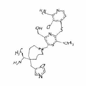 Cc1nc(N2CCC(Cc3cnco3)([C@H](C)N)CC2)c(CO)nc1Sc1ccnc(N)c1Cl